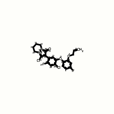 C=CCOc1cc(F)ccc1Oc1cc(-c2c(Cl)n3n(c2=O)CCCC3)c(F)cc1Cl